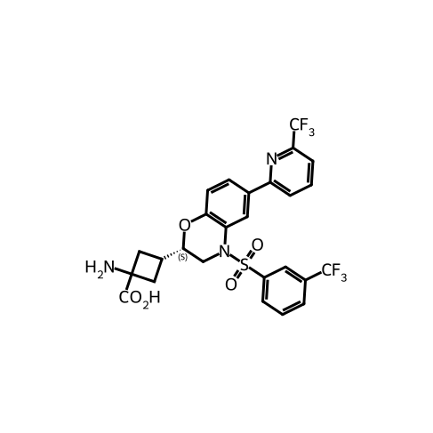 NC1(C(=O)O)CC([C@H]2CN(S(=O)(=O)c3cccc(C(F)(F)F)c3)c3cc(-c4cccc(C(F)(F)F)n4)ccc3O2)C1